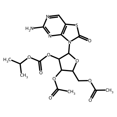 CC(=O)OCC1OC(n2c(=O)sc3cnc(N)nc32)C(OC(=O)OC(C)C)C1OC(C)=O